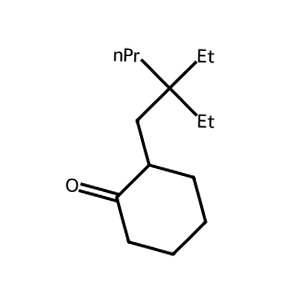 CCCC(CC)(CC)CC1CCCCC1=O